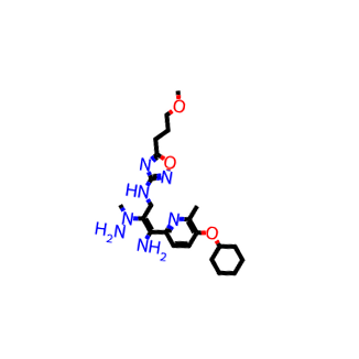 COCCCc1nc(NC/C(=C(/N)c2ccc(OC3CCCCC3)c(C)n2)N(C)N)no1